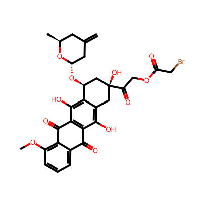 C=C1C[C@H](O[C@H]2C[C@](O)(C(=O)COC(=O)CBr)Cc3c(O)c4c(c(O)c32)C(=O)c2c(OC)cccc2C4=O)O[C@@H](C)C1